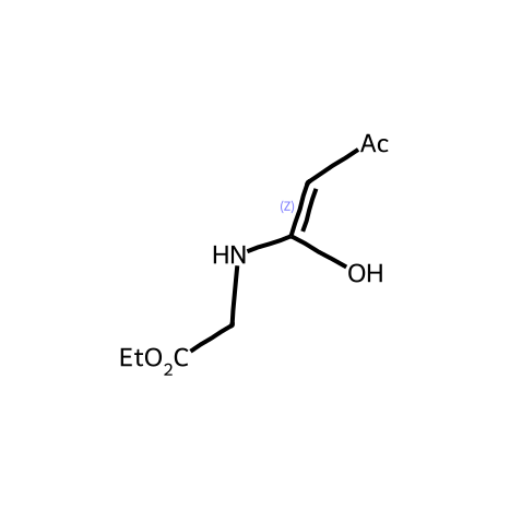 CCOC(=O)CN/C(O)=C/C(C)=O